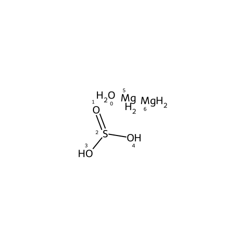 O.O=S(O)O.[MgH2].[MgH2]